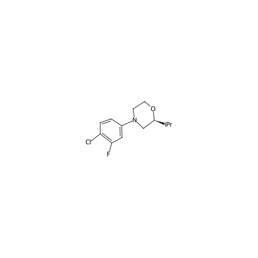 CC(C)[C@H]1CN(c2ccc(Cl)c(F)c2)CCO1